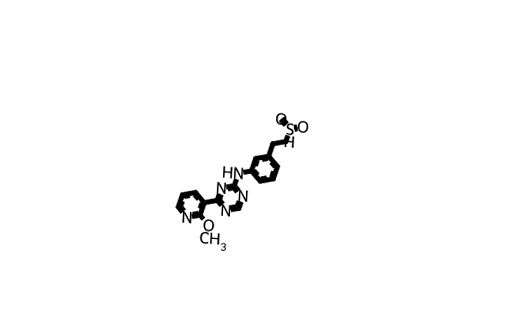 COc1ncccc1-c1ncnc(Nc2cccc(CC[SH](=O)=O)c2)n1